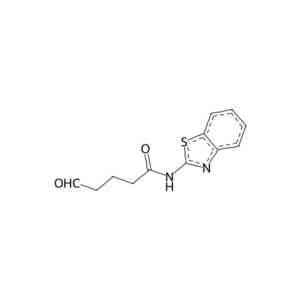 O=CCCCC(=O)Nc1nc2ccccc2s1